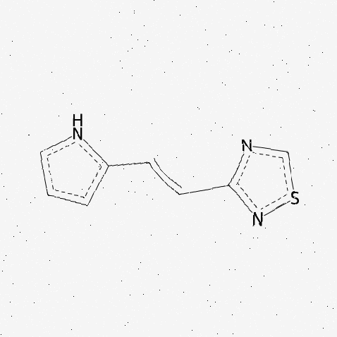 C(=C\c1ccc[nH]1)/c1ncsn1